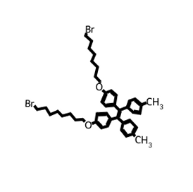 Cc1ccc(/C(=C(\c2ccc(C)cc2)c2ccc(OCCCCCCCCBr)cc2)c2ccc(OCCCCCCCCBr)cc2)cc1